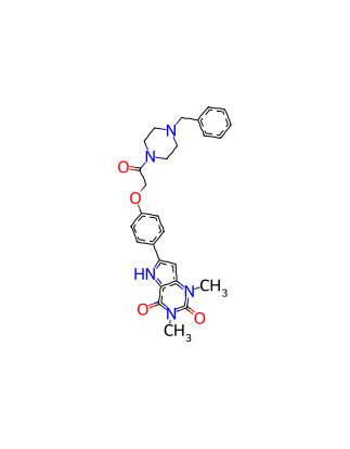 Cn1c(=O)c2[nH]c(-c3ccc(OCC(=O)N4CCN(Cc5ccccc5)CC4)cc3)cc2n(C)c1=O